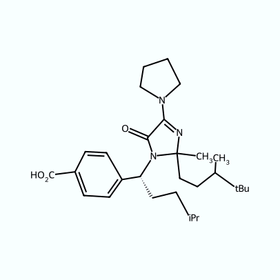 CC(C)CC[C@H](c1ccc(C(=O)O)cc1)N1C(=O)C(N2CCCC2)=NC1(C)CCC(C)C(C)(C)C